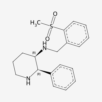 CS(=O)(=O)c1ccccc1CN[C@@H]1CCCN[C@@H]1c1ccccc1